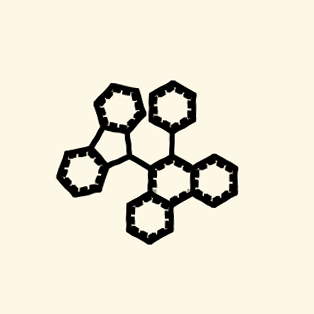 c1ccc(-c2c([C]3c4ccccc4-c4ccccc43)c3ccccc3c3ccccc23)cc1